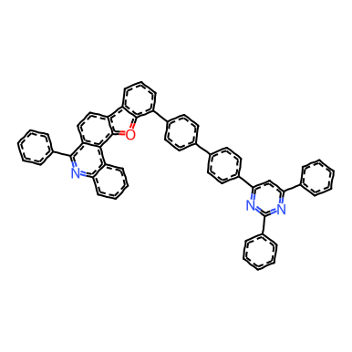 c1ccc(-c2cc(-c3ccc(-c4ccc(-c5cccc6c5oc5c6ccc6c(-c7ccccc7)nc7ccccc7c65)cc4)cc3)nc(-c3ccccc3)n2)cc1